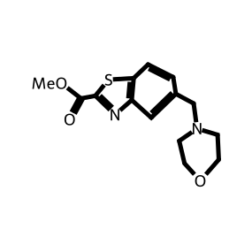 COC(=O)c1nc2cc(CN3CCOCC3)ccc2s1